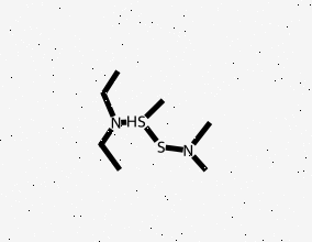 CCN(CC)[SH](C)SN(C)C